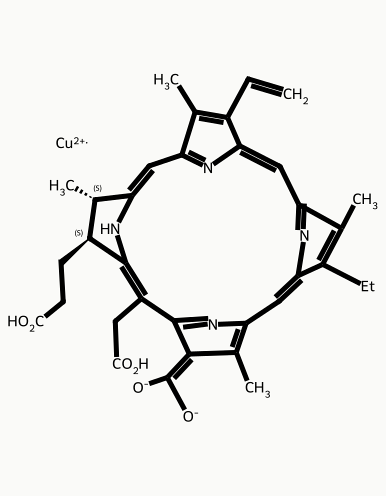 C=CC1=C(C)C2=NC1=CC1=NC(=CC3=C(C)C(=C([O-])[O-])C(=N3)C(CC(=O)O)=C3NC(=C2)[C@@H](C)[C@@H]3CCC(=O)O)C(CC)=C1C.[Cu+2]